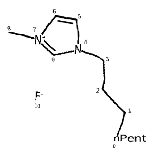 CCCCCCCCn1cc[n+](C)c1.[F-]